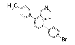 Cc1ccc(-c2ccc(-c3ccc(Br)cc3)c3ccncc23)cc1